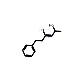 CC(O)/C=C(\O)CCc1ccccc1